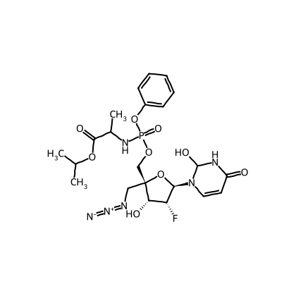 CC(C)OC(=O)C(C)NP(=O)(OC[C@@]1(CN=[N+]=[N-])O[C@@H](N2C=CC(=O)NC2O)[C@H](F)[C@@H]1O)Oc1ccccc1